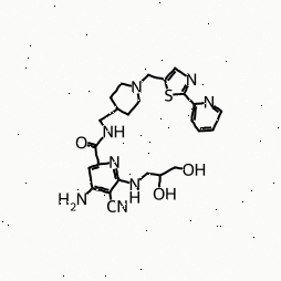 N#Cc1c(N)cc(C(=O)NCC2CCN(Cc3cnc(-c4ccccn4)s3)CC2)nc1NCC(O)CO